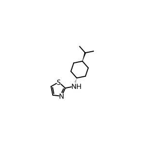 CC(C)[C@H]1CC[C@H](Nc2nccs2)CC1